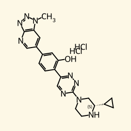 Cl.Cl.Cn1nnc2ncc(-c3ccc(-c4cnc(N5CCN[C@@H](C6CC6)C5)nn4)c(O)c3)cc21